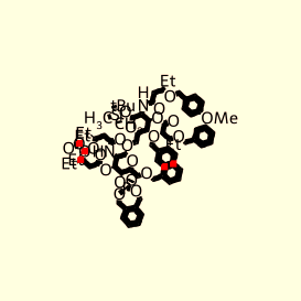 CCC(=O)O[C@H](CC)CC(=O)NC1[C@H](OCC2O[C@@H](O[Si](C)(C)C(C)(C)C)C(NC(=O)C[C@@H](CC)OCc3ccc(OC)cc3)[C@@H](OC(=O)C[C@@H](CC)OCc3ccccc3)[C@@H]2OCc2ccccc2)OC(COCc2ccccc2)[C@@H](OP2(=O)OCc3ccccc3CO2)[C@@H]1OC(=O)C[C@@H](CC)OC(=O)CC